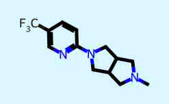 CN1CC2CN(c3ccc(C(F)(F)F)cn3)CC2C1